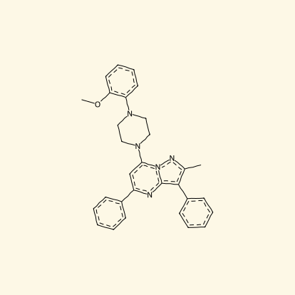 COc1ccccc1N1CCN(c2cc(-c3ccccc3)nc3c(-c4ccccc4)c(C)nn23)CC1